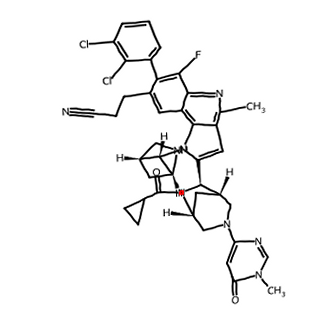 Cc1nc2c(F)c(-c3cccc(Cl)c3Cl)c(CCC#N)cc2c2c1cc([C@H]1[C@H]3C[C@H](CN(c4cc(=O)n(C)cn4)C3)N1C(=O)C1CC1)n2[C@H]1[C@H]2CN[C@@H]1C2